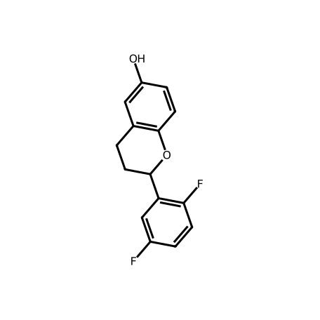 Oc1ccc2c(c1)CCC(c1cc(F)ccc1F)O2